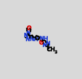 Cc1cnc(CC(=O)Nc2ccc(-c3cc4c(N5CCOCC5)ncnc4[nH]3)cc2)nc1